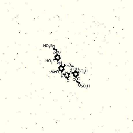 COc1cc(/N=N/c2ccc(S(=O)(=O)CCOS(=O)(=O)O)cc2S(=O)(=O)O)c(NC(C)=O)cc1Nc1nc(Cl)nc(Nc2cc(S(=O)(=O)CCOS(=O)(=O)O)cc(S(=O)(=O)O)c2O)n1